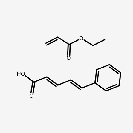 C=CC(=O)OCC.O=C(O)C=CC=Cc1ccccc1